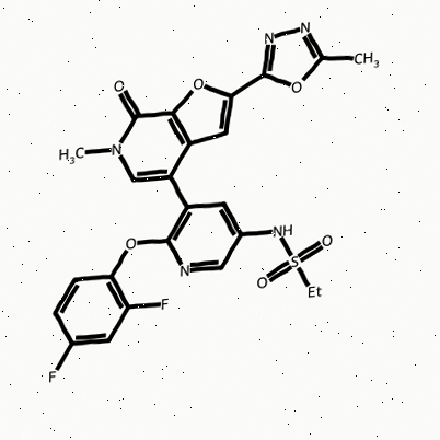 CCS(=O)(=O)Nc1cnc(Oc2ccc(F)cc2F)c(-c2cn(C)c(=O)c3oc(-c4nnc(C)o4)cc23)c1